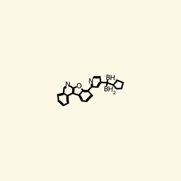 BC(B)(c1ccnc(-c2cccc3c2oc2ncc4ccccc4c23)c1)C1CCCC1